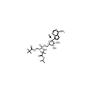 CC(C)OC(=O)C(C)(C)N[P@](=O)(OCOC(=O)C(C)(C)C)OC[C@H]1O[C@@](C#N)(c2ccc3c(N)ncnn23)[C@H](O)[C@@H]1O